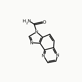 NC(=O)n1cnc2c3nccnc3ccc21